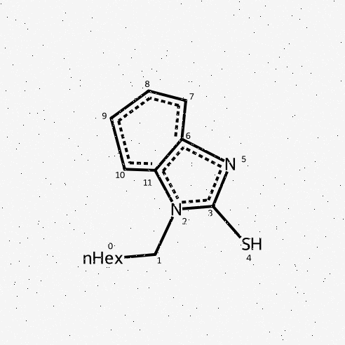 CCCCCCCn1c(S)nc2ccccc21